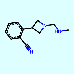 CNCN1CC(c2ccccc2C#N)C1